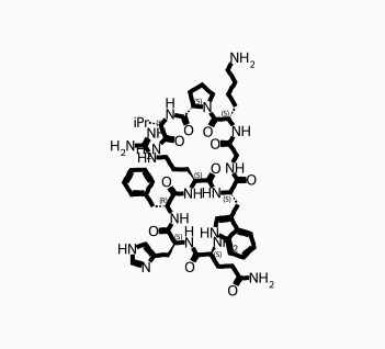 CC(C)[C@H](NC(=O)[C@@H]1CCCN1C(=O)[C@H](CCCCN)NC(=O)CNC(=O)[C@H](Cc1c[nH]c2ccccc12)NC(=O)[C@H](CCCNC(=N)N)NC(=O)[C@@H](Cc1ccccc1)NC(=O)[C@H](Cc1c[nH]cn1)NC(=O)[C@@H](N)CCC(N)=O)C(N)=O